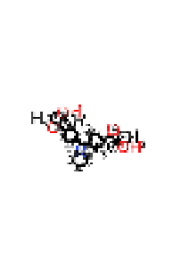 CC(C)(O)C(=O)c1ccc(C(c2ccc(C(=O)C(C)(C)O)cc2)N2CCCCC2)cc1